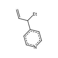 C=CC(CC)c1ccncc1